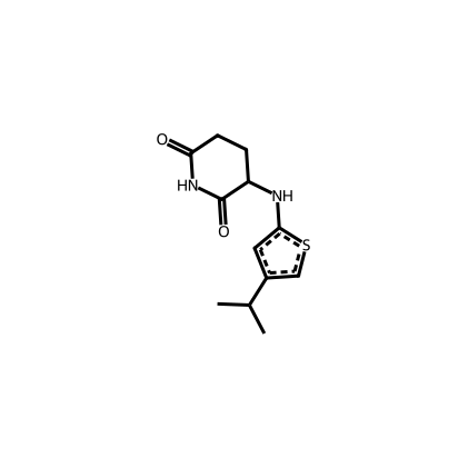 CC(C)c1csc(NC2CCC(=O)NC2=O)c1